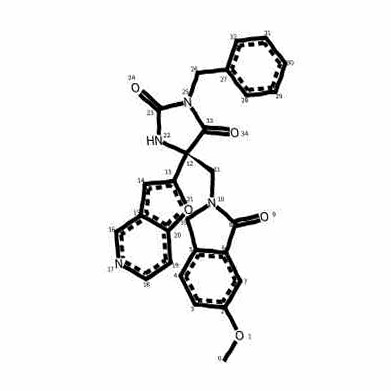 COc1ccc2c(c1)C(=O)N(C[C@@]1(c3cc4cnccc4o3)NC(=O)N(Cc3ccccc3)C1=O)C2